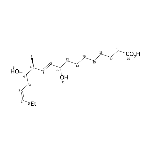 CC/C=C\C[C@H](O)[C@@H](C)/C=C/[C@@H](O)CCCCCCCC(=O)O